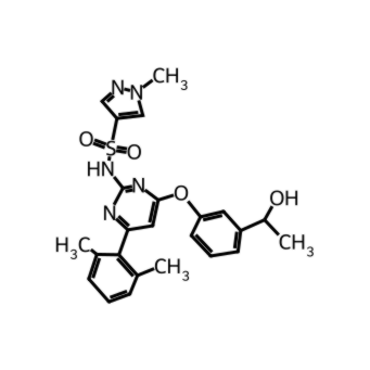 Cc1cccc(C)c1-c1cc(Oc2cccc(C(C)O)c2)nc(NS(=O)(=O)c2cnn(C)c2)n1